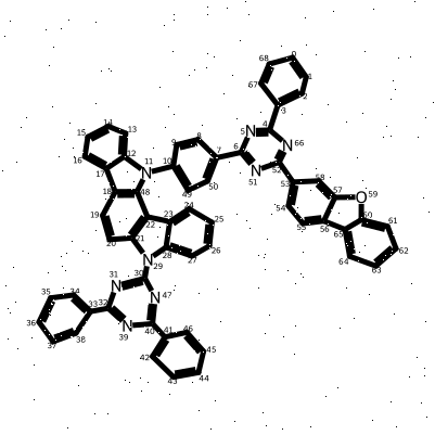 c1ccc(-c2nc(-c3ccc(-n4c5ccccc5c5ccc6c(c7ccccc7n6-c6nc(-c7ccccc7)nc(-c7ccccc7)n6)c54)cc3)nc(-c3ccc4c(c3)oc3ccccc34)n2)cc1